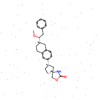 COC(Cc1ccccc1)[C@H]1CCc2cc([C@H]3CC[C@]4(COC(=O)N4)C3)ccc2C1